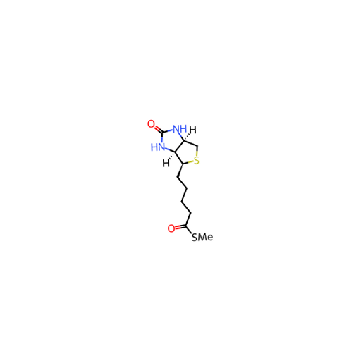 CSC(=O)CCCC[C@@H]1SC[C@@H]2NC(=O)N[C@@H]21